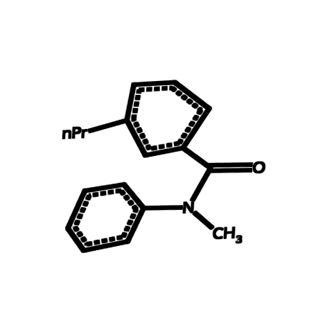 CCCc1cccc(C(=O)N(C)c2ccccc2)c1